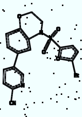 CCc1ccc(S(=O)(=O)N2CCOc3ccc(-c4ccc(C#N)nc4)cc32)o1